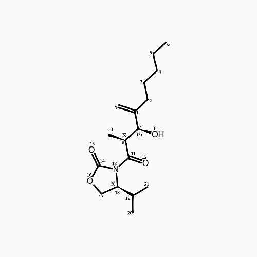 C=C(CCCCC)[C@@H](O)[C@H](C)C(=O)N1C(=O)OC[C@@H]1C(C)C